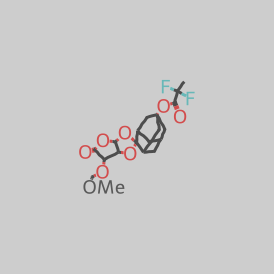 COCOC1C(=O)OC2OC3(OC21)C1CC2CC3CC(OC(=O)C(C)(F)F)(C2)C1